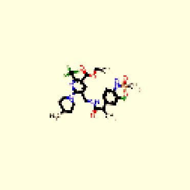 CCOC(=O)c1cc(CNC(=O)C(C)c2ccc(NS(C)(=O)=O)c(F)c2)c(N2CCC(C)CC2)nc1C(F)(F)F